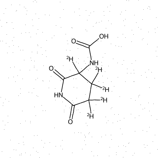 [2H]C1([2H])C(=O)NC(=O)C([2H])(NC(=O)O)C1([2H])[2H]